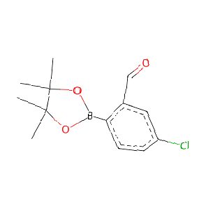 CC1(C)OB(c2ccc(Cl)cc2C=O)OC1(C)C